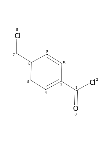 O=C(Cl)C1=CCC(CCl)C=C1